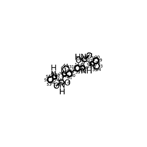 O=C1NC(=O)[C@H](c2cn3c4c(c(-c5ccc6c([C@@H]7C(=O)NC(=O)[C@@H]7c7cn8c9c(cccc79)CCC8)c[nH]c6c5)ccc24)CCC3)[C@H]1c1c[nH]c2ccccc12